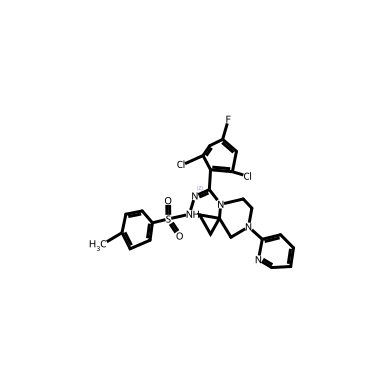 Cc1ccc(S(=O)(=O)N/N=C(/c2c(Cl)cc(F)cc2Cl)N2CCN(c3ccccn3)CC23CC3)cc1